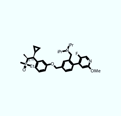 CCP(C)(=O)[C@@H](C)[C@H](c1cccc(OCc2ccc(-c3cc(OC)ncc3F)c(CN(C(C)C)C(C)C)c2)c1)C1CC1